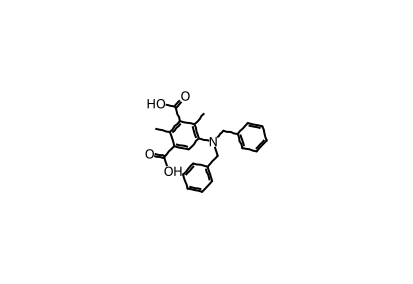 Cc1c(C(=O)O)cc(N(Cc2ccccc2)Cc2ccccc2)c(C)c1C(=O)O